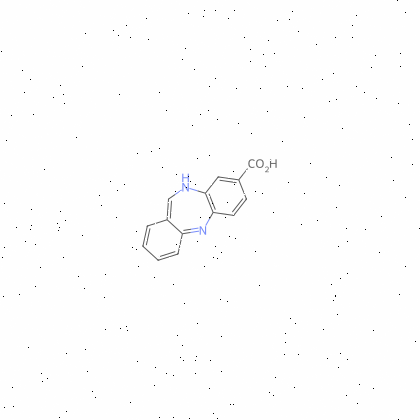 O=C(O)c1ccc2c(c1)NC=c1ccccc1=N2